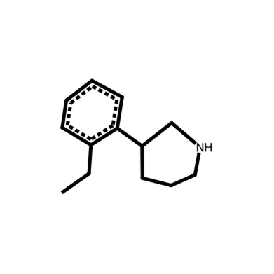 CCc1ccccc1C1CCCNC1